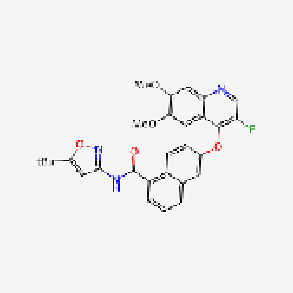 COc1cc2ncc(F)c(Oc3ccc4c(C(=O)Nc5cc(C(C)(C)C)on5)cccc4c3)c2cc1OC